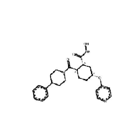 O=C(NO)[C@@H]1C[C@H](Oc2ccncc2)CC[C@H]1C(=O)N1CCC(c2ccccc2)CC1